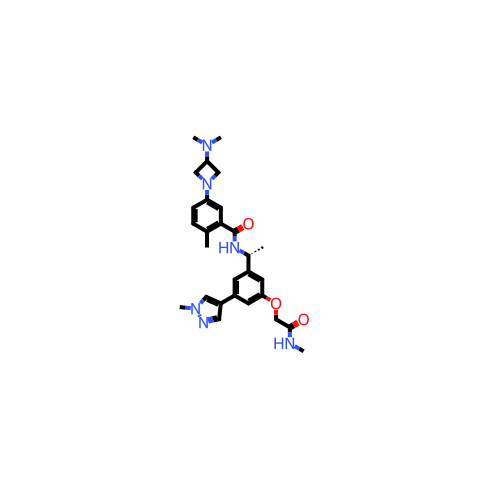 CNC(=O)COc1cc(-c2cnn(C)c2)cc([C@@H](C)NC(=O)c2cc(N3CC(N(C)C)C3)ccc2C)c1